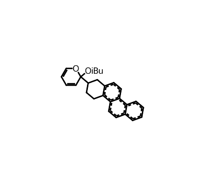 CC(C)COC1(C2CCc3c(ccc4c3ccc3ccccc34)C2)C=CC=CO1